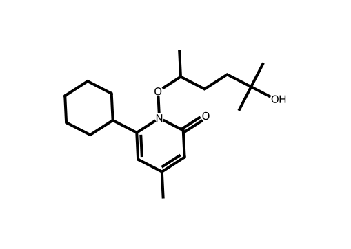 Cc1cc(C2CCCCC2)n(OC(C)CCC(C)(C)O)c(=O)c1